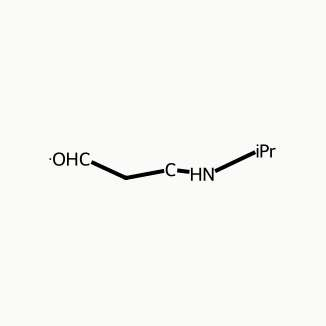 CC(C)NCC[C]=O